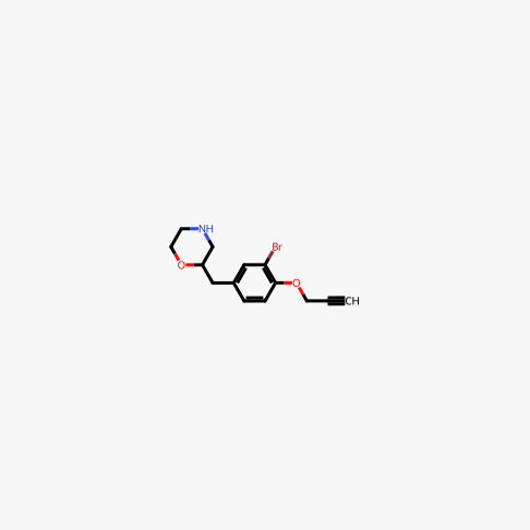 C#CCOc1ccc(CC2CNCCO2)cc1Br